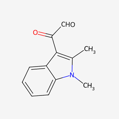 Cc1c(C(=O)C=O)c2ccccc2n1C